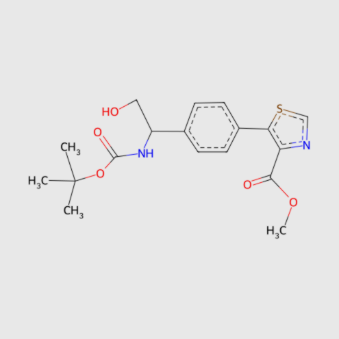 COC(=O)c1ncsc1-c1ccc(C(CO)NC(=O)OC(C)(C)C)cc1